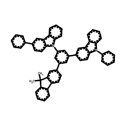 CC1(C)c2ccccc2-c2ccc(-c3cc(-c4ccc5c(c4)c4ccccc4n5-c4ccccc4)cc(-n4c5ccccc5c5cc(-c6ccccc6)ccc54)c3)cc21